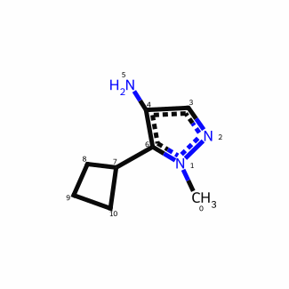 Cn1ncc(N)c1C1CCC1